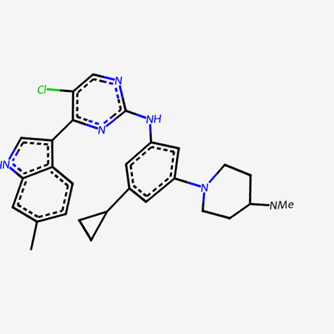 CNC1CCN(c2cc(Nc3ncc(Cl)c(-c4c[nH]c5cc(C)ccc45)n3)cc(C3CC3)c2)CC1